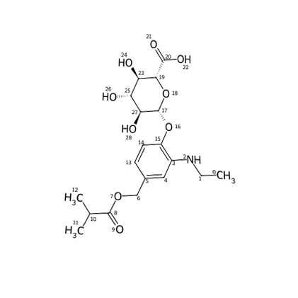 CCNc1cc(COC(=O)C(C)C)ccc1O[C@H]1O[C@@H](C(=O)O)[C@H](O)[C@@H](O)[C@@H]1O